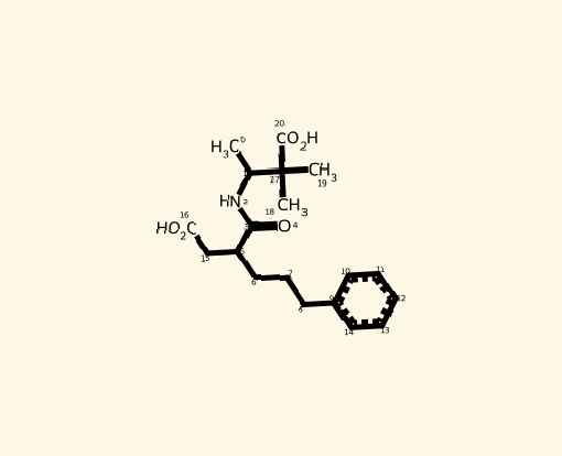 CC(NC(=O)C(CCCc1ccccc1)CC(=O)O)C(C)(C)C(=O)O